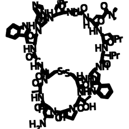 CC(C)C[C@@H]1NC(=O)[C@H](Cc2cnc[nH]2)NC(=O)[C@H](Cc2c[nH]c3ccccc23)NC(=O)CNC(=O)[C@@H]2CSSC[C@H](NC(=O)[C@H](Cc3c[nH]c4ccccc34)NC(=O)[C@H](C(C)C)NC(=O)[C@H](CC(C)C)NC(=O)[C@H](CCC(=O)N(C)C)NC(=O)CNC1=O)C(=O)N[C@@H]([C@@H](C)O)C(=O)N1CCC[C@@H]1C(=O)N1C[C@@H](N)C[C@H]1C(=O)N[C@@H](C)C(=O)N2